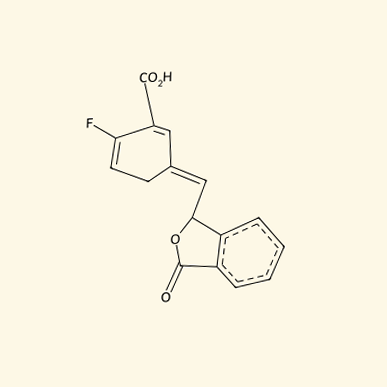 O=C(O)C1=CC(=CC2OC(=O)c3ccccc32)CC=C1F